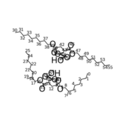 CCCCCCC(C)COC(=O)CC(C(=O)OCC(C)CCCCCC)S(=O)(=O)O.CCCCCCCCCOC(=O)CC(C(=O)OCCCCCCCCC)S(=O)(=O)O